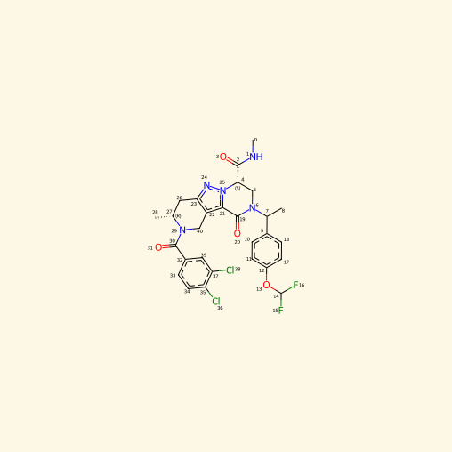 CNC(=O)[C@@H]1CN(C(C)c2ccc(OC(F)F)cc2)C(=O)c2c3c(nn21)C[C@@H](C)N(C(=O)c1ccc(Cl)c(Cl)c1)C3